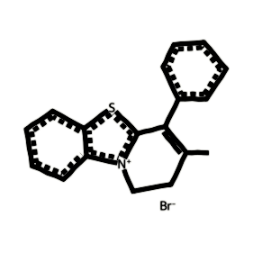 CC1=C(c2ccccc2)c2sc3ccccc3[n+]2CC1.[Br-]